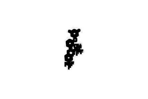 Cc1cc(C)cc(Oc2cccc(N(Cc3ccc(C(F)(F)F)cc3F)C[C@@H](O)C(F)(F)F)c2)c1